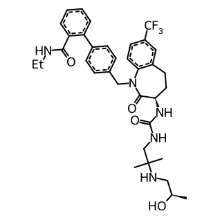 CCNC(=O)c1ccccc1-c1ccc(CN2C(=O)[C@H](NC(=O)NCC(C)(C)NC[C@@H](C)O)CCc3cc(C(F)(F)F)ccc32)cc1